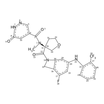 CN(C(=O)c1cn[nH]c(=O)c1)[C@@]1(C(=O)N2Cc3c(F)cc(Nc4ccccc4C(F)(F)F)cc32)CCOC1